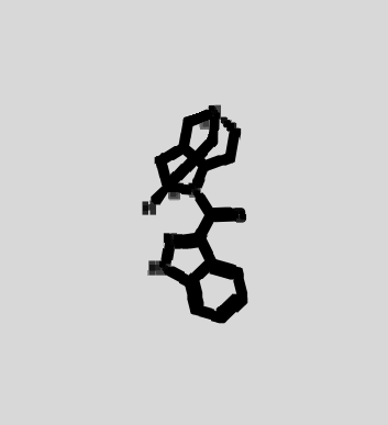 O=C(c1n[nH]c2ccccc12)N1C2CC[N@@]3CC2C[C@@H]1C3